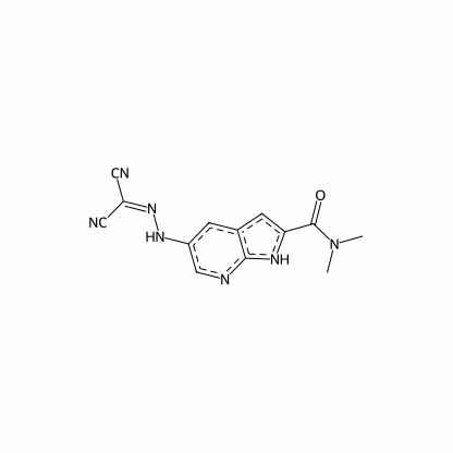 CN(C)C(=O)c1cc2cc(NN=C(C#N)C#N)cnc2[nH]1